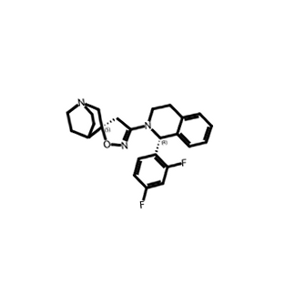 Fc1ccc([C@H]2c3ccccc3CCN2C2=NO[C@]3(C2)CN2CCC3CC2)c(F)c1